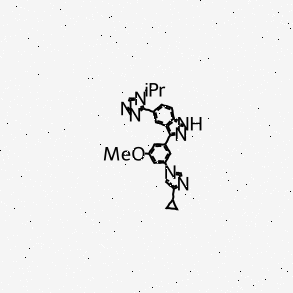 COc1cc(-c2n[nH]c3ccc(-c4nncn4C(C)C)cc23)cc(-n2cnc(C3CC3)c2)c1